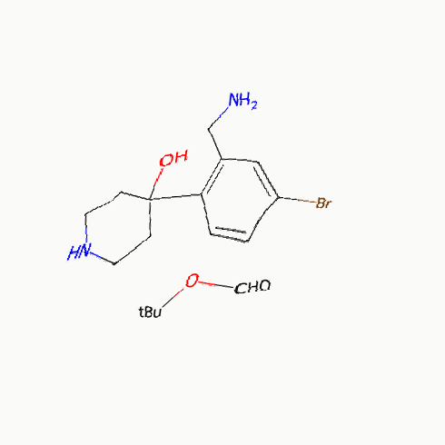 CC(C)(C)OC=O.NCc1cc(Br)ccc1C1(O)CCNCC1